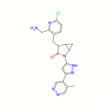 Cc1cnncc1-c1cc(N2C(=O)C(Cc3ccc(Cl)nc3CN)C3CC32)[nH]n1